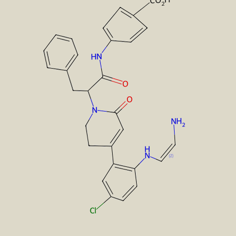 N/C=C\Nc1ccc(Cl)cc1C1=CC(=O)N(C(Cc2ccccc2)C(=O)Nc2ccc(C(=O)O)cc2)CC1